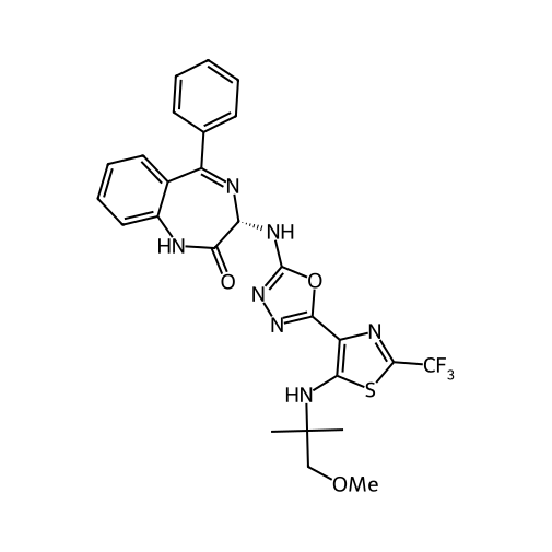 COCC(C)(C)Nc1sc(C(F)(F)F)nc1-c1nnc(N[C@H]2N=C(c3ccccc3)c3ccccc3NC2=O)o1